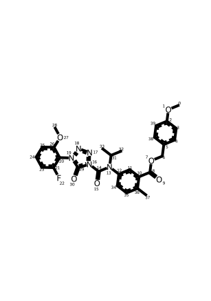 COc1ccc(COC(=O)c2cc(N(C(=O)n3nnn(-c4c(F)cccc4OC)c3=O)C(C)C)ccc2C)cc1